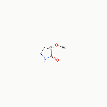 CC(=O)O[C@H]1CCNC1=O